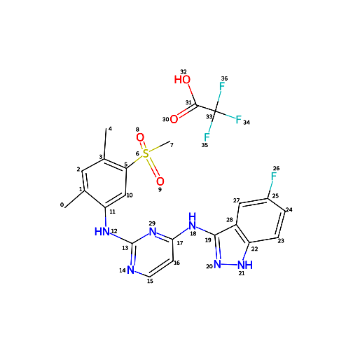 Cc1cc(C)c(S(C)(=O)=O)cc1Nc1nccc(Nc2n[nH]c3ccc(F)cc23)n1.O=C(O)C(F)(F)F